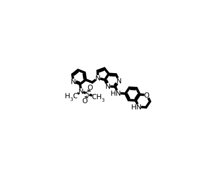 CN(c1ncccc1Cn1ccc2cnc(Nc3ccc4c(c3)NCCO4)nc21)S(C)(=O)=O